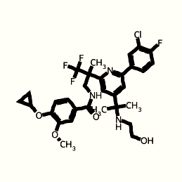 COc1cc(C(=O)NCC(C)(c2cc(C(C)(C)NCCO)cc(-c3ccc(F)c(Cl)c3)n2)C(F)(F)F)ccc1OC1CC1